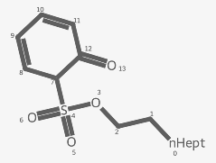 CCCCCCCCCOS(=O)(=O)C1C=CC=CC1=O